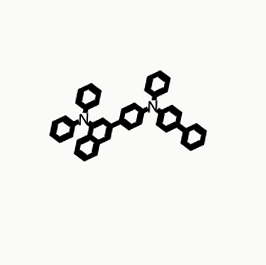 c1ccc(-c2ccc(N(c3ccccc3)c3ccc(-c4cc(N(c5ccccc5)c5ccccc5)c5ccccc5c4)cc3)cc2)cc1